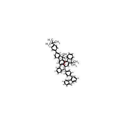 CC(C)(C)c1ccc(-c2ccc3c(c2)C(C)(C)c2ccc(-c4ccccc4N(c4ccc(-c5cccc6sc7ccccc7c56)cc4)c4ccc5c(c4)C(C)(C)c4ccccc4-5)cc2-3)cc1